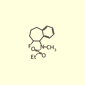 CCS(=O)(=O)N(C)C1c2ccccc2CCCC1F